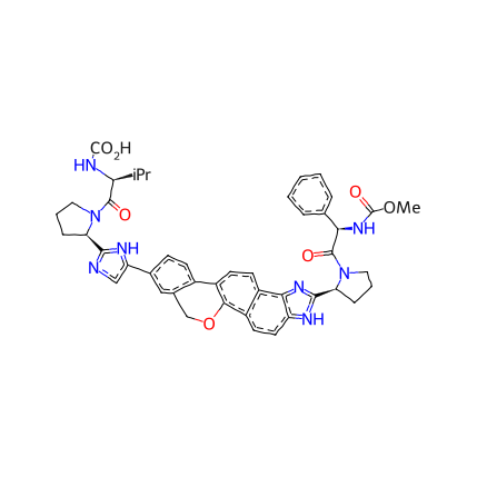 COC(=O)N[C@@H](C(=O)N1CCC[C@H]1c1nc2c(ccc3c4c(ccc32)-c2ccc(-c3cnc([C@H]5CCCN5C(=O)[C@@H](NC(=O)O)C(C)C)[nH]3)cc2CO4)[nH]1)c1ccccc1